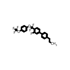 CCCc1ccc(-c2ccc(C(F)(F)Oc3ccc(OC(F)(F)F)cc3)c(F)c2)cc1